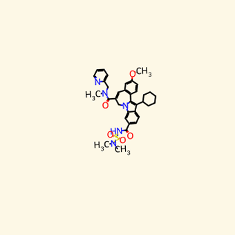 COc1ccc2c(c1)C=C(C(=O)N(C)Cc1ccccn1)Cn1c-2c(C2CCCCC2)c2ccc(C(=O)NS(=O)(=O)N(C)C)cc21